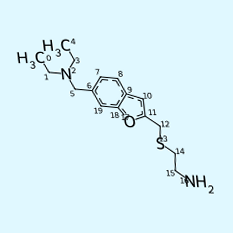 CCN(CC)Cc1ccc2cc(CSCCN)oc2c1